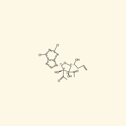 C=CCC(O)[C@H]1O[C@@H](n2cnc3c(Cl)nc(Cl)nc32)[C@@](O)(C(C)=O)[C@@]1(O)C(C)=O